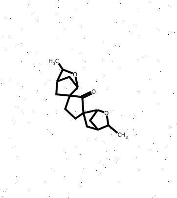 CC1OC2CC1CC21CCC2(CC3CC2OC3C)C1=O